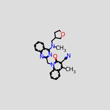 Cc1c(C#N)c(=O)n(Cc2nc(N(C)CC3CCOC3)c3ccccc3n2)c2ccccc12